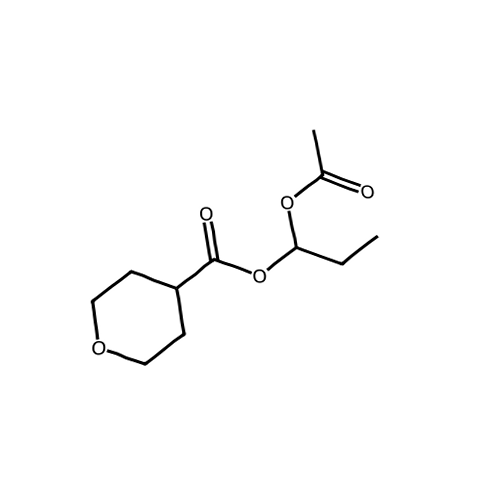 CCC(OC(C)=O)OC(=O)C1CCOCC1